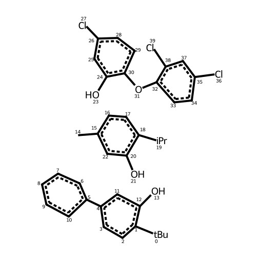 CC(C)(C)c1ccc(-c2ccccc2)cc1O.Cc1ccc(C(C)C)c(O)c1.Oc1cc(Cl)ccc1Oc1ccc(Cl)cc1Cl